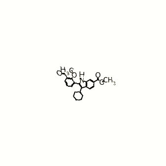 COC(=O)c1ccc2c(C3CCCCC3)c(-c3cccc(C=O)c3OC)[nH]c2c1